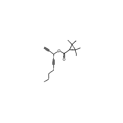 C#CC(C#CCCCC)OC(=O)C1C(C)(C)C1(C)C